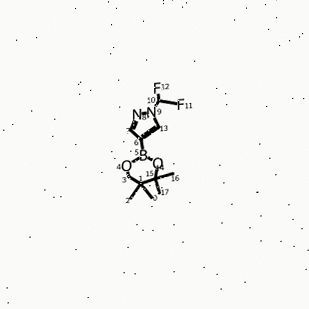 CC1(C)COB(c2cnn(C(F)F)c2)OC1(C)C